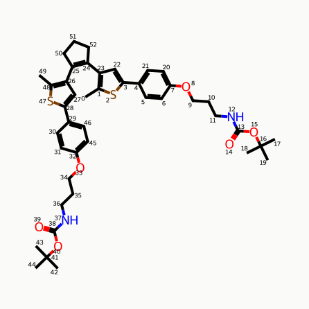 Cc1sc(-c2ccc(OCCCNC(=O)OC(C)(C)C)cc2)cc1C1=C(c2cc(-c3ccc(OCCCNC(=O)OC(C)(C)C)cc3)sc2C)CCC1